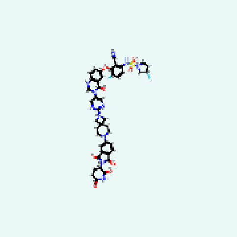 N#Cc1c(NS(=O)(=O)N2CC[C@@H](F)C2)ccc(F)c1Oc1ccc2ncn(-c3cnc(N4CC5(CCN(c6ccc7c(c6)C(=O)N(C6CCC(=O)NC6=O)C7=O)CC5)C4)nc3)c(=O)c2c1